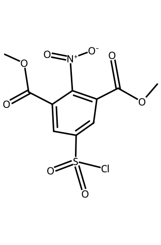 COC(=O)c1cc(S(=O)(=O)Cl)cc(C(=O)OC)c1[N+](=O)[O-]